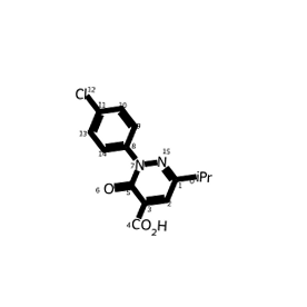 CC(C)c1cc(C(=O)O)c(=O)n(-c2ccc(Cl)cc2)n1